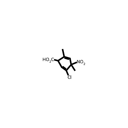 CC1=CC(C)([N+](=O)[O-])C(Cl)=CC1C(=O)O